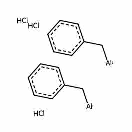 Cl.Cl.Cl.[Al][CH2]c1ccccc1.[Al][CH2]c1ccccc1